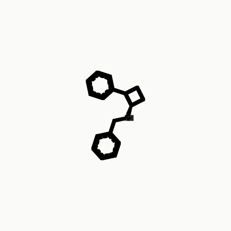 c1ccc(CN[C@@H]2CCC2c2ccccc2)cc1